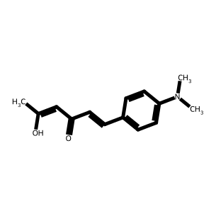 CC(O)=CC(=O)C=Cc1ccc(N(C)C)cc1